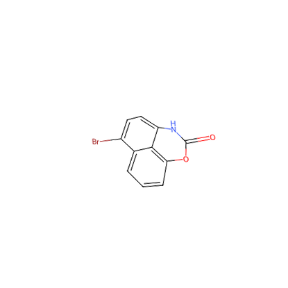 O=C1Nc2ccc(Br)c3cccc(c23)O1